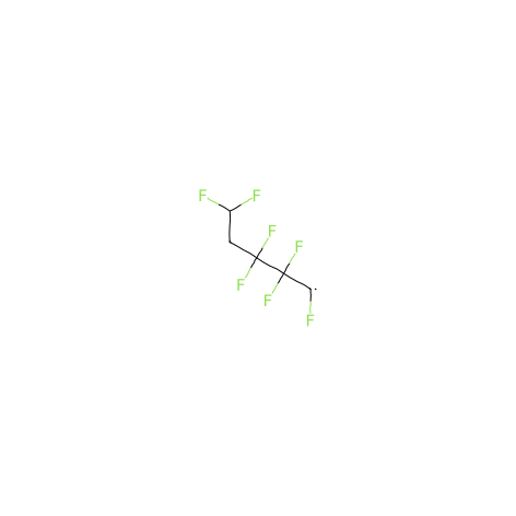 F[CH]C(F)(F)C(F)(F)CC(F)F